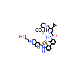 O=C(Nc1cccc(-c2cccc(NC(=O)c3cc(C4CC4)c(CN4CCCCC4C(=O)O)cn3)c2Cl)c1Cl)c1cc2c(cn1)CN(CCCO)CC2